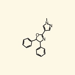 Cn1cc(C2=NC(c3ccccc3)C(c3ccccc3)O2)cn1